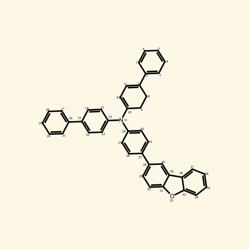 C1=C(c2ccccc2)CCC(N(c2ccc(-c3ccccc3)cc2)c2ccc(-c3ccc4oc5ccccc5c4c3)cc2)=C1